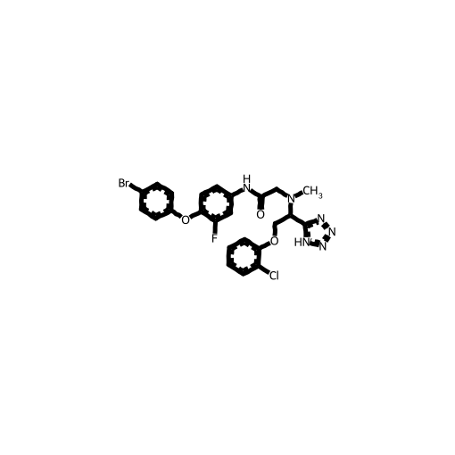 CN(CC(=O)Nc1ccc(Oc2ccc(Br)cc2)c(F)c1)C(COc1ccccc1Cl)c1nnn[nH]1